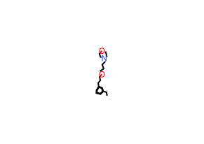 CCc1cccc(CCCOCCCCN2CCOCC2)c1